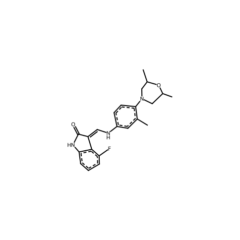 Cc1cc(N/C=C2/C(=O)Nc3cccc(F)c32)ccc1N1CC(C)OC(C)C1